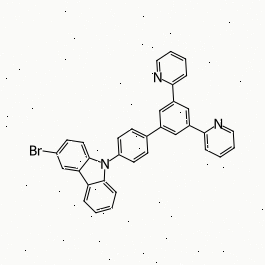 Brc1ccc2c(c1)c1ccccc1n2-c1ccc(-c2cc(-c3ccccn3)cc(-c3ccccn3)c2)cc1